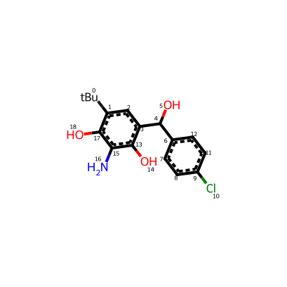 CC(C)(C)c1cc(C(O)c2ccc(Cl)cc2)c(O)c(N)c1O